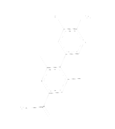 COC(=O)c1cc(C)c(-c2cnc(OC)c(Br)c2)c(C)c1